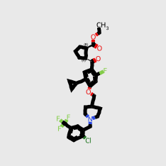 CCOC(=O)[C@@H]1CCC[C@H]1C(=O)c1cc(C2CC2)c(OCC2CCN(Cc3cc(C(F)(F)F)ccc3Cl)CC2)cc1F